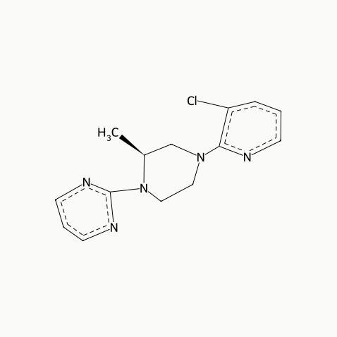 C[C@H]1CN(c2ncccc2Cl)CCN1c1ncccn1